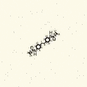 O=C(Nc1ccc(CCc2ccc(NC(=O)N3CC3)cc2)cc1)N1CC1